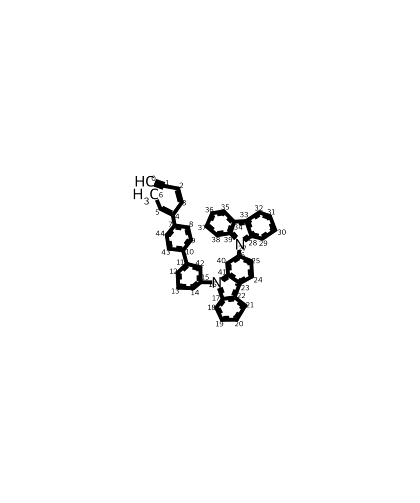 C#C/C=C\C(=C/C)c1ccc(-c2cccc(-n3c4ccccc4c4ccc(-n5c6ccccc6c6ccccc65)cc43)c2)cc1